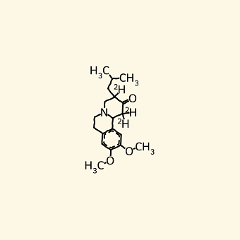 [2H]C1(CC(C)C)CN2CCc3cc(OC)c(OC)cc3C2C([2H])([2H])C1=O